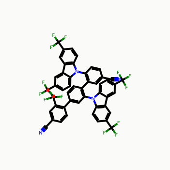 N#Cc1ccc(-n2c3ccc(C(F)(F)F)cc3c3cc(C(F)(F)F)ccc32)c(-c2ccc(-c3ccc(C#N)cc3C(F)(F)F)cc2-n2c3ccc(C(F)(F)F)cc3c3cc(C(F)(F)F)ccc32)c1